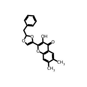 Cc1cc2oc(C3=COC(Cc4ccccc4)O3)c(O)c(=O)c2cc1C